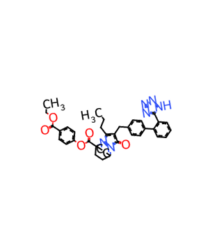 CCCc1c(Cc2ccc(-c3ccccc3-c3nnn[nH]3)cc2)c(=O)n2n1C1(C(=O)Oc3ccc(C(=O)OCC)cc3)CCC2CC1